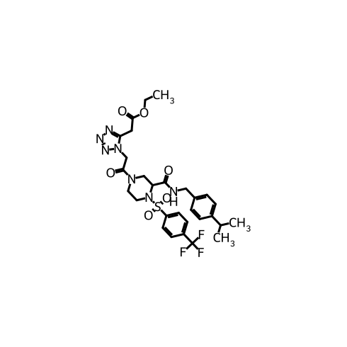 CCOC(=O)Cc1nnnn1CC(=O)N1CCN(S(=O)(=O)c2ccc(C(F)(F)F)cc2)C(C(=O)NCc2ccc(C(C)C)cc2)C1